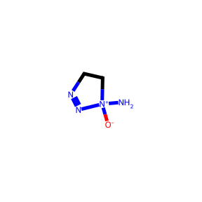 N[N+]1([O-])CCN=N1